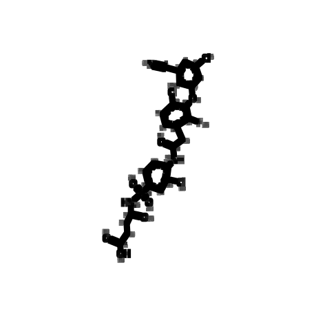 N#Cc1cc(Cl)cc(Oc2c(Cl)ccc(CC(=O)Nc3ccc(S(=O)(=O)NC(=O)CCC(=O)O)cc3Cl)c2F)c1